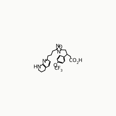 O=C(O)CC(Cc1nc(CCCc2ccc3c(n2)NCCC3)no1)c1ccc(OC(F)(F)F)cc1